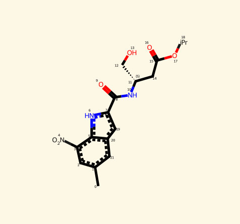 Cc1cc([N+](=O)[O-])c2[nH]c(C(=O)N[C@H](CO)CC(=O)OC(C)C)cc2c1